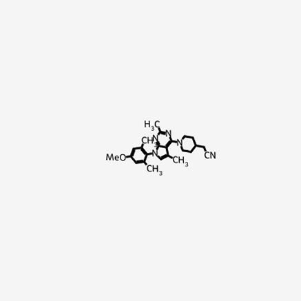 COc1cc(C)c(-n2cc(C)c3c(N4CCC(CC#N)CC4)nc(C)nc32)c(C)c1